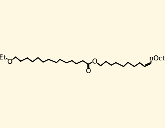 CCCCCCCC/C=C\CCCCCCCCOC(=O)CCCCCCCCCCCCCOCC